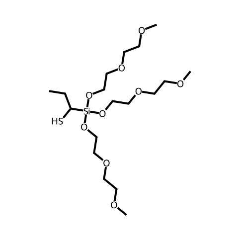 CCC(S)[Si](OCCOCCOC)(OCCOCCOC)OCCOCCOC